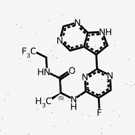 C[C@H](Nc1nc(-c2c[nH]c3ncncc23)ncc1F)C(=O)NCC(F)(F)F